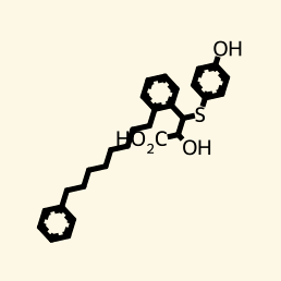 O=C(O)C(O)C(Sc1ccc(O)cc1)c1ccccc1CCCCCCCCc1ccccc1